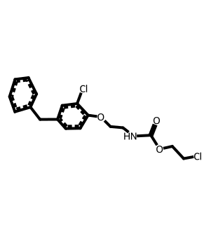 O=C(NCCOc1ccc(Cc2ccccc2)cc1Cl)OCCCl